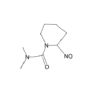 CN(C)C(=O)N1CCCCC1N=O